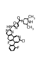 CC1CN(C(=O)c2cnc(Nc3ncc4c(n3)C3=CN=C(Cl)C=C(c5c(F)cccc5F)C3=CC4)o2)CC(C)N1